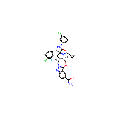 C[C@]1(C(=O)Nc2cccc(Cl)c2)[C@@H](c2cccc(Cl)c2F)[C@@H]2Cn3nc4ccc(C(N)=O)cc4c3OC[C@@H]2N1CC1CC1